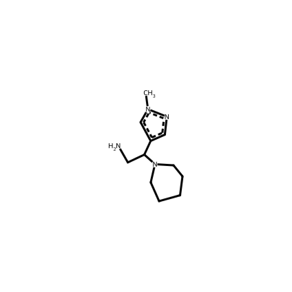 Cn1cc(C(CN)N2CCCCC2)cn1